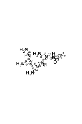 CC(C)(C)CC(C)(C)C(=O)NCCN(CCN)CCN(Cl)CCN(CCN)CCN(CCN)CCNCCN